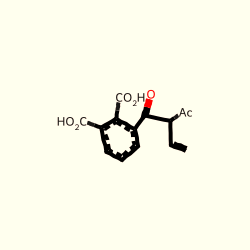 C=CC(C(C)=O)C(=O)c1cccc(C(=O)O)c1C(=O)O